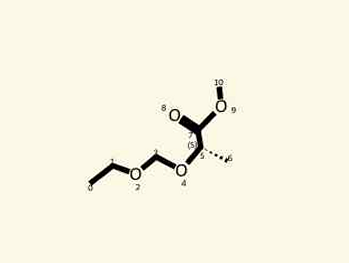 CCOCO[C@@H](C)C(=O)OC